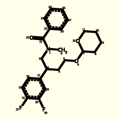 CN(CC(CCOC1CCCCO1)c1ccc(F)c(F)c1)C(=O)c1ccccc1